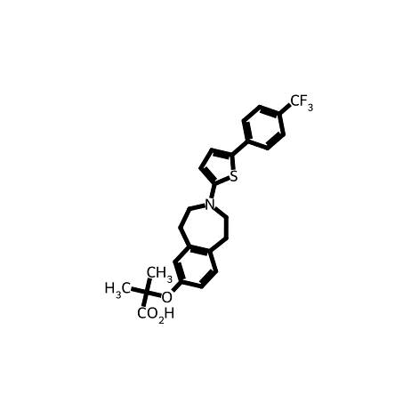 CC(C)(Oc1ccc2c(c1)CCN(c1ccc(-c3ccc(C(F)(F)F)cc3)s1)CC2)C(=O)O